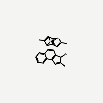 CC1=C2c3oc(C)cc3C1[Si]2(C)C.CC1=Cc2c(ccc3ccccc23)[CH]1[Zr]